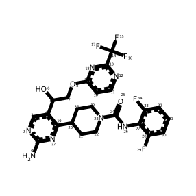 Nc1ncc(C(O)COc2ccnc(C(F)(F)F)n2)c(C2CCN(C(=O)Nc3c(F)cccc3F)CC2)n1